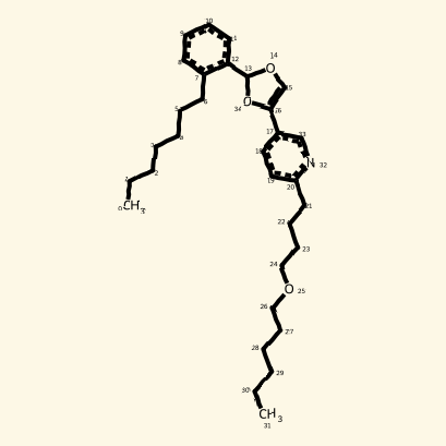 CCCCCCCc1ccccc1C1OC=C(c2ccc(CCCCOCCCCCC)nc2)O1